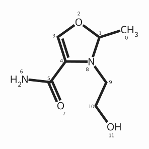 CC1OC=C(C(N)=O)N1CCO